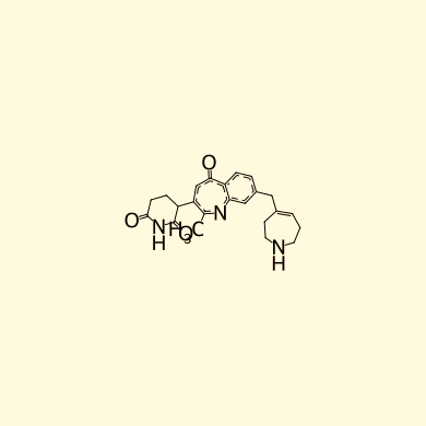 Cc1nc2cc(CC3=CCCNCC3)ccc2c(=O)cc1C1CCC(=O)NC1=O